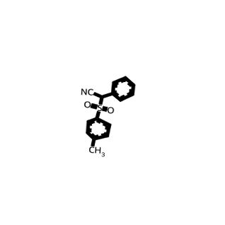 Cc1ccc(S(=O)(=O)C(C#N)c2ccccc2)cc1